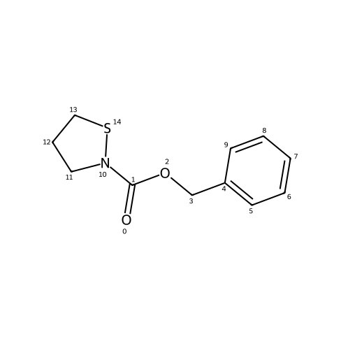 O=C(OCc1ccccc1)N1CCCS1